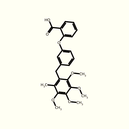 COc1c(C)c(Cc2cccc(Oc3ccccc3C(=O)O)c2)c(OC)c(OC)c1OC